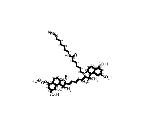 CC[N+]1=C(/C=C/C=C/C=C2\N(CCCCCC(=O)NCCCCCCN=[N+]=[N-])c3ccc4c(S(=O)(=O)O)cc(S(=O)(=O)O)cc4c3C2(C)C)C(C)(C)c2c1ccc1c(SOOO)cc(S(=O)(=O)O)cc21